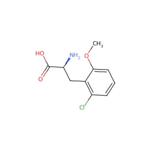 COc1cccc(Cl)c1C[C@H](N)C(=O)O